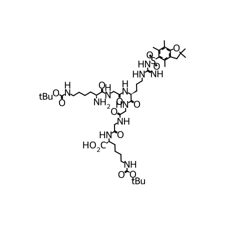 Cc1c(C)c(S(=O)(=O)NC(=N)NCCC[C@H](NC(=O)CNC(=O)[C@@H](N)CCCCNC(=O)OC(C)(C)C)C(=O)NCC(=O)NCC(=O)N[C@@H](CCCCNC(=O)OC(C)(C)C)C(=O)O)c(C)c2c1OC(C)(C)C2